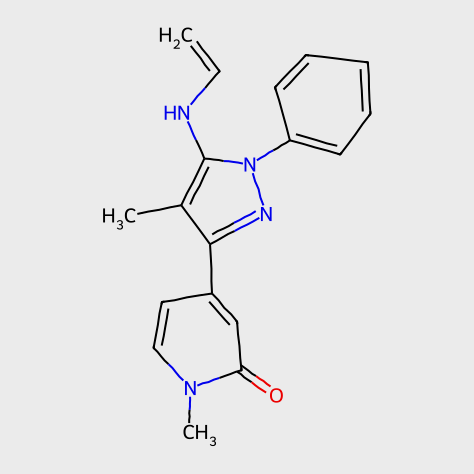 C=CNc1c(C)c(-c2ccn(C)c(=O)c2)nn1-c1ccccc1